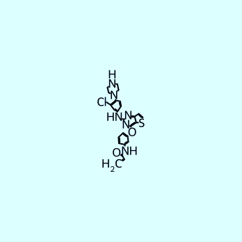 C=CC(=O)Nc1cccc(Oc2nc(Nc3ccc(N4CCNCC4)c(Cl)c3)nc3ccsc23)c1